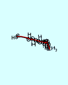 CC(=O)CCCNC(=O)CCC(NC(=O)COCCOCCNC(=O)COCCOCCNC(=O)CCCNC(=O)CCCCCCCCCCCCCCCCC(=O)O)C(=O)O